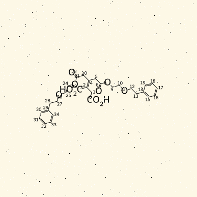 O=C(O)CC(C(=O)O)=C(CC(=O)OCCOCCc1ccccc1)CC(=O)OCCOCCc1ccccc1